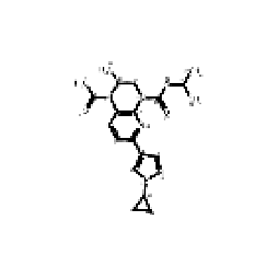 CC(=O)N1c2ccc(-c3cnn(C4CC4)c3)nc2N(C(=O)OC(C)C)C[C@@H]1C